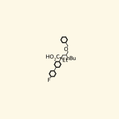 CCCCC(COCc1ccccc1)C[C@](CC)(C(=O)O)c1ccc(-c2ccc(F)cc2)cc1